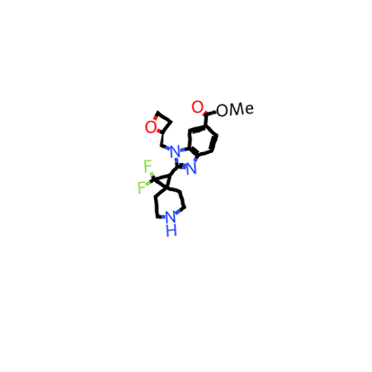 COC(=O)c1ccc2nc(C3C(F)(F)C34CCNCC4)n(C[C@@H]3CCO3)c2c1